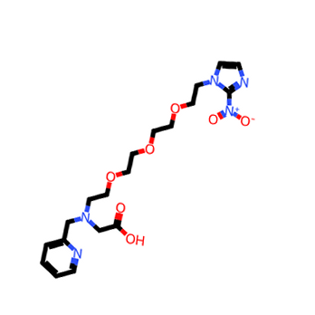 O=C(O)CN(CCOCCOCCOCCn1ccnc1[N+](=O)[O-])Cc1ccccn1